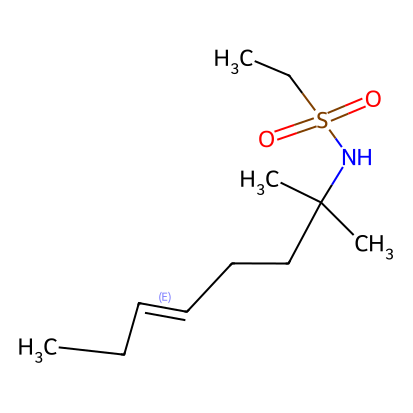 CC/C=C/CCC(C)(C)NS(=O)(=O)CC